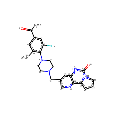 CNC(=O)c1cc(F)c(N2CCN(Cc3cnc4c(c3)[nH]c(=O)n3cccc43)CC2)c(NC)c1